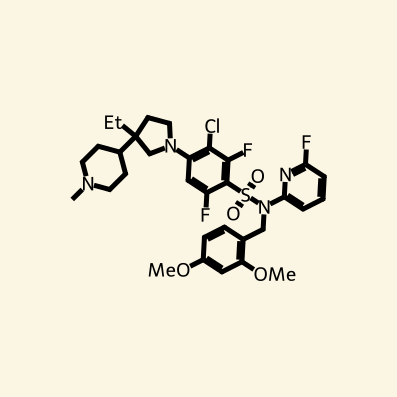 CCC1(C2CCN(C)CC2)CCN(c2cc(F)c(S(=O)(=O)N(Cc3ccc(OC)cc3OC)c3cccc(F)n3)c(F)c2Cl)C1